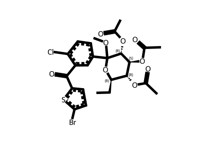 CC[C@H]1OC(OC)(c2ccc(Cl)c(C(=O)c3ccc(Br)s3)c2)[C@H](OC(C)=O)[C@@H](OC(C)=O)[C@@H]1OC(C)=O